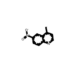 [CH2]c1ccnc2ccc([N+](=O)[O-])cc12